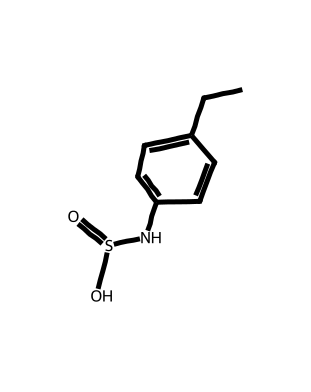 CCc1ccc(NS(=O)O)cc1